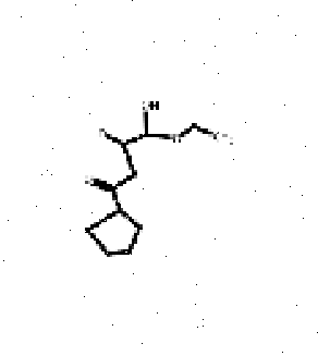 CCOC(O)C(O)CC(=O)C1CCCC1